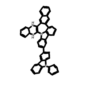 C1=CC2NC3=C(NC2C=C1)n1c2ccc(-c4ccc5c(c4)c4ccccc4n5-c4ccccc4)cc2c2cccc(c21)-c1cc2ccccc2cc13